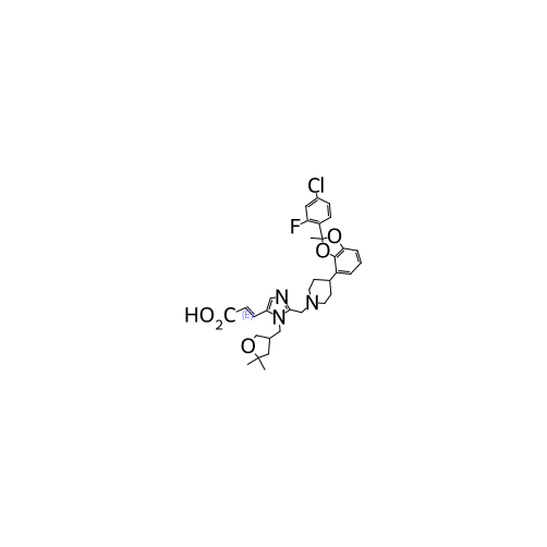 CC1(C)CC(Cn2c(/C=C/C(=O)O)cnc2CN2CCC(c3cccc4c3OC(C)(c3ccc(Cl)cc3F)O4)CC2)CO1